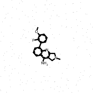 COc1cccc(-c2cccc3c(N)c4c(nc23)CN(C)C4)c1F